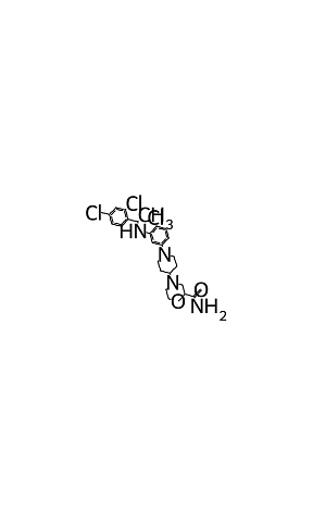 C[C@@H](Nc1cc(N2CCC(N3CCOC(C(N)=O)C3)CC2)ccc1Cl)c1ccc(Cl)cc1Cl